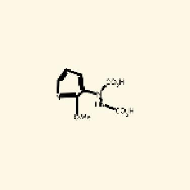 COc1ncccc1N(NC(=O)O)C(=O)O